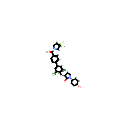 O=C(c1ccc(-c2cc(Cl)c(C[C@@H]3CCN([C@H]4CC[C@@H](O)CC4)C3=O)c(Cl)c2)cc1)N1CCC(F)(F)C1